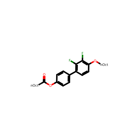 CCCCCCCCOc1ccc(-c2ccc(OC(=O)CCCCCCCC)cc2)c(F)c1F